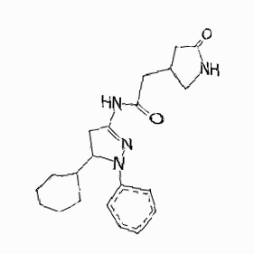 O=C1CC(CC(=O)NC2=NN(c3ccccc3)C(C3CCCCC3)C2)CN1